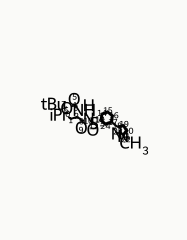 CC(C)CC(NC(=O)OC(C)(C)C)C(=O)N[S+]([O-])c1cccc(-c2ccn(C)n2)c1